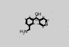 NCc1cccc([C@H](O)c2ccncc2)c1